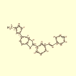 Cn1cc(-c2ccc3c(c2)CN(c2nccc(/C=C/c4ccncc4)n2)C3)cn1